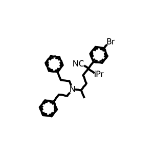 CC(CCC(C#N)(c1ccc(Br)cc1)C(C)C)N(CCc1ccccc1)CCc1ccccc1